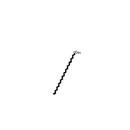 C=CCCCCCCCCCCCCCCCCC=CCCCCCCCCCCCCCC